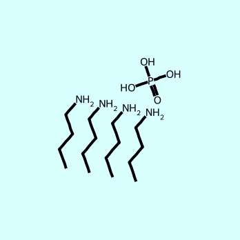 CCCCN.CCCCN.CCCCN.CCCCN.O=P(O)(O)O